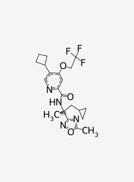 Cc1nc([C@@](C)(CC2CC2)NC(=O)c2cc(OCC(F)(F)F)c(C3CCC3)cn2)no1